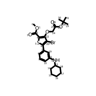 COC(=O)c1sc(-c2cccc(NC3CCCCC3)c2)c(Br)c1OCC(=O)OC(C)(C)C